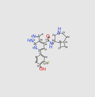 Cc1n[nH]c2nc(-c3ccc(O)c(F)c3)cc(C(=O)NC3CNCCC4CCC43)c12